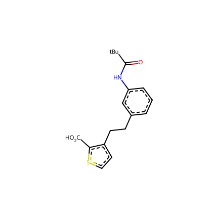 CC(C)(C)C(=O)Nc1cccc(CCc2ccsc2C(=O)O)c1